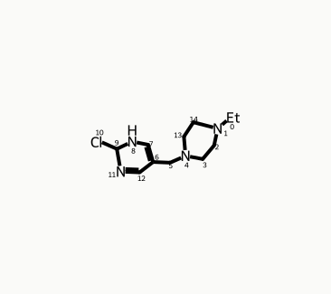 CCN1CCN(CC2=CNC(Cl)N=C2)CC1